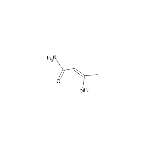 CC([NH])=CC(N)=O